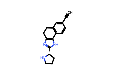 C#Cc1ccc2c(c1)CCc1nc([C@@H]3CCCN3)[nH]c1-2